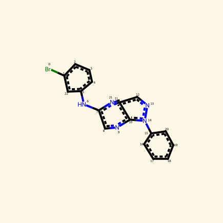 Brc1cccc(Nc2cnc3c(cnn3-c3ccccc3)n2)c1